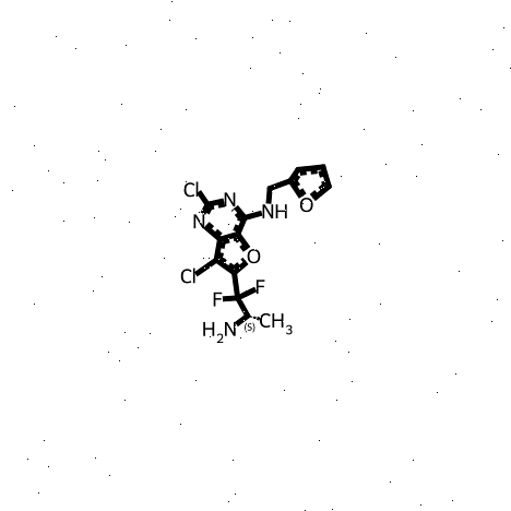 C[C@H](N)C(F)(F)c1oc2c(NCc3ccco3)nc(Cl)nc2c1Cl